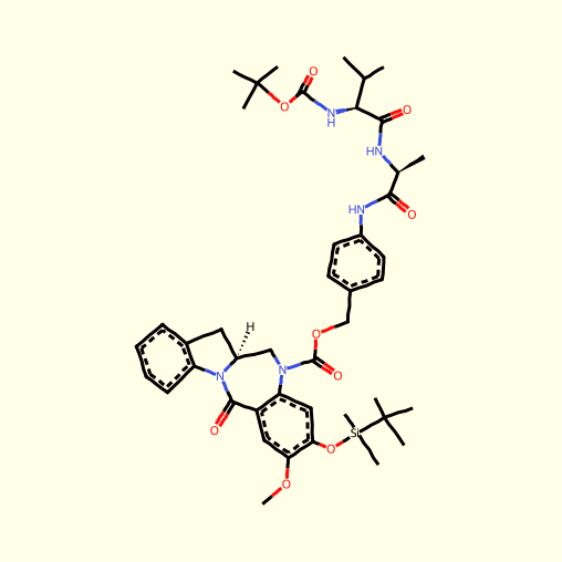 COc1cc2c(cc1O[Si](C)(C)C(C)(C)C)N(C(=O)OCc1ccc(NC(=O)[C@H](C)NC(=O)[C@@H](NC(=O)OC(C)(C)C)C(C)C)cc1)C[C@@H]1Cc3ccccc3N1C2=O